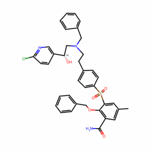 Cc1cc(C(N)=O)c(OCc2ccccc2)c(S(=O)(=O)c2ccc(CCN(Cc3ccccc3)C[C@H](O)c3ccc(Cl)nc3)cc2)c1